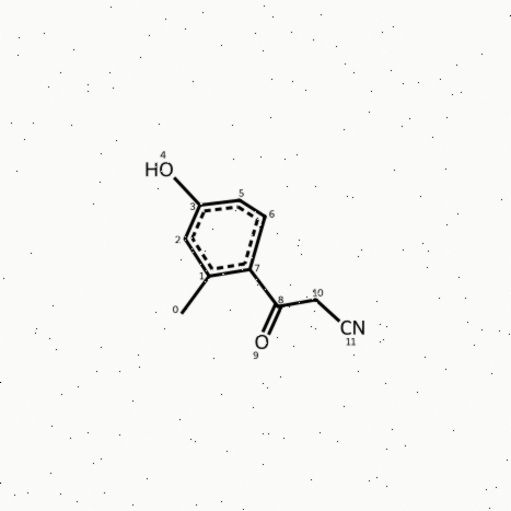 Cc1cc(O)ccc1C(=O)CC#N